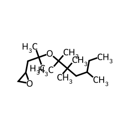 CCC(C)CC(C)(C)C(C)(C)OC(C)(C)CC1CO1